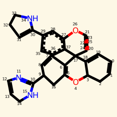 C1=CCC2OC3=C(C=CC(C4=NC=CCN4)C3)C3(C2=C1)C1=C(C=CCC1)Oc1cc(C2=CCCN2)ccc13